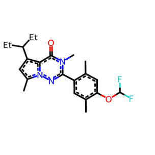 CCC(CC)c1cc(C)n2nc(-c3cc(C)c(OC(F)F)cc3C)n(C)c(=O)c12